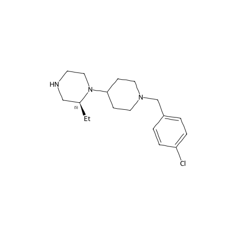 CC[C@H]1CNCCN1C1CCN(Cc2ccc(Cl)cc2)CC1